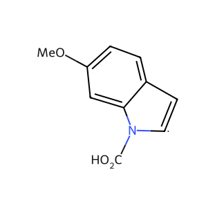 COc1ccc2c[c]n(C(=O)O)c2c1